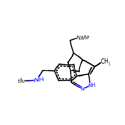 CNCC1CC2/C=N\N/C(c3ccc(CNC(C)(C)C)cc3)=C(\C)C1C2